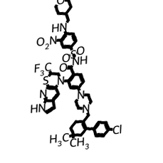 CC1(C)CCC(CN2CCN(c3ccc(C(=O)NS(=O)(=O)c4ccc(NCC5CCOCC5)c([N+](=O)[O-])c4)c(N4CC(C(F)(F)F)Sc5nc6[nH]ccc6cc54)c3)CC2)=C(c2ccc(Cl)cc2)C1